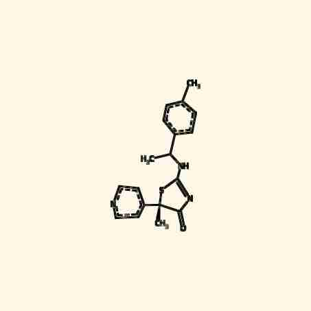 Cc1ccc(C(C)NC2=NC(=O)[C@](C)(c3ccncc3)S2)cc1